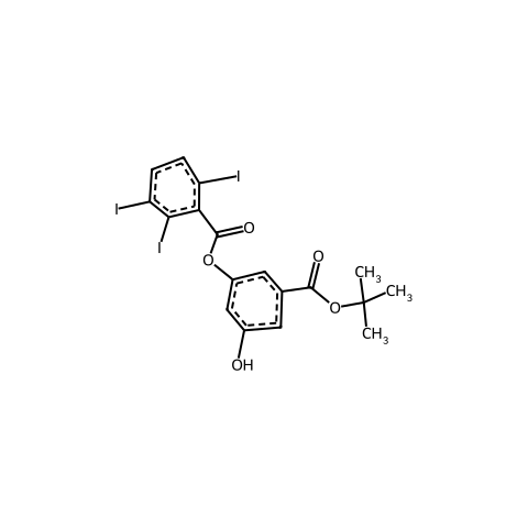 CC(C)(C)OC(=O)c1cc(O)cc(OC(=O)c2c(I)ccc(I)c2I)c1